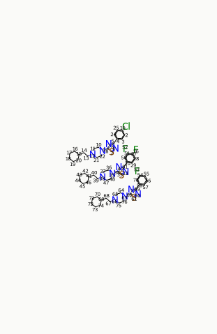 Clc1ccc(-c2nsc(N3CCN(CCC4CCCCC4)CC3)n2)cc1.Fc1ccc(-c2nsc(N3CCN(CCC4CCCCC4)CC3)n2)cc1F.Fc1cccc(-c2nsc(N3CCN(CCC4CCCCC4)CC3)n2)c1